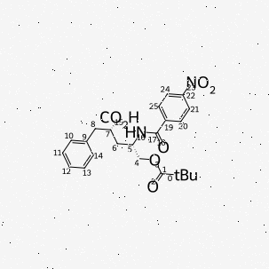 CC(C)(C)C(=O)OC[C@H](C[C@H](Cc1ccccc1)C(=O)O)NC(=O)c1ccc([N+](=O)[O-])cc1